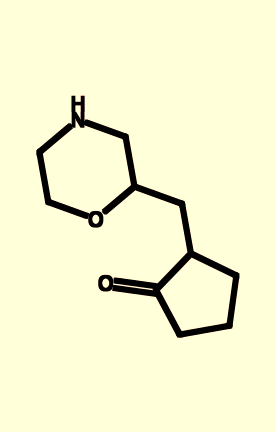 O=C1CCCC1CC1CNCCO1